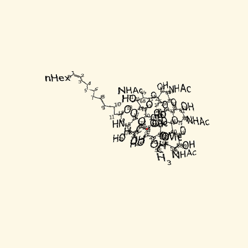 CCCCCC/C=C\CCCCCCCCCC(=O)NC1[C@H](O[C@@H]2C(CO)O[C@@H](O[C@@H]3C(CO)O[C@@H](O[C@@H]4C(CO)O[C@@H](O[C@@H]5C(CO[C@@H]6OC(C)[C@@H](O)C(O)[C@H]6OC)O[C@@H](C)C(NC(C)=O)[C@H]5O)C(NC(C)=O)[C@H]4O)C(NC(C)=O)[C@H]3O)C(NC(C)=O)[C@H]2O)OC(COC(C)=O)[C@@H](O)[C@@H]1O